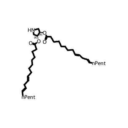 CCCCCC=CCC=CCCCCCCCC(=O)O[C@@H]1CNC[C@H]1OC(=O)CCCCCCCC=CCC=CCCCCC